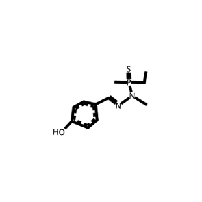 CCP(C)(=S)N(C)/N=C/c1ccc(O)cc1